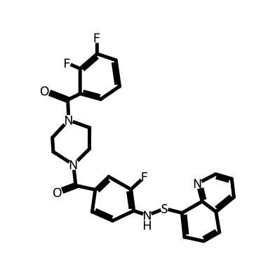 O=C(c1ccc(NSc2cccc3cccnc23)c(F)c1)N1CCN(C(=O)c2cccc(F)c2F)CC1